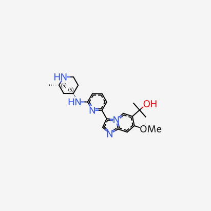 COc1cc2ncc(-c3cccc(N[C@H]4CCN[C@@H](C)C4)n3)n2cc1C(C)(C)O